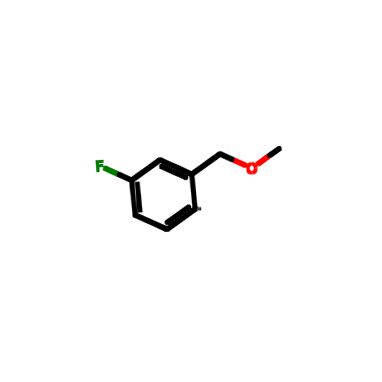 COCc1[c]ccc(F)c1